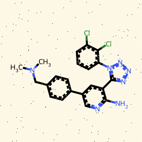 CN(C)Cc1ccc(-c2cnc(N)c(-c3nnnn3-c3cccc(Cl)c3Cl)c2)cc1